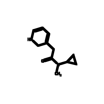 CN(C(=O)CC1=CC=CNC1)C1CC1